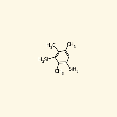 Cc1cc([SiH3])c(C)c([SiH3])c1C